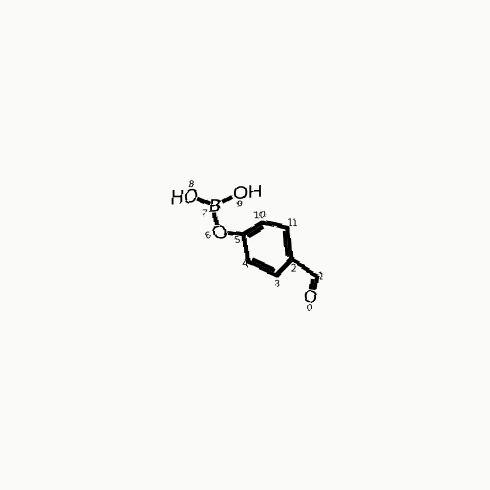 O=Cc1ccc(OB(O)O)cc1